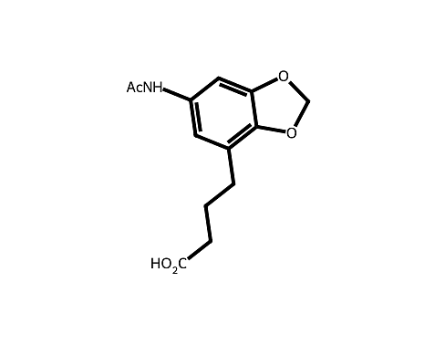 CC(=O)Nc1cc(CCCC(=O)O)c2c(c1)OCO2